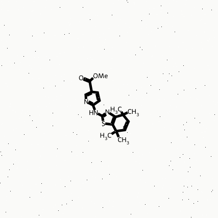 COC(=O)c1ccc(Nc2nc3c(s2)C(C)(C)C=CC3(C)C)nc1